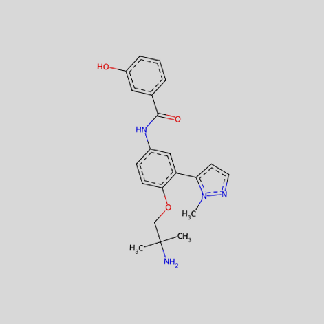 Cn1nccc1-c1cc(NC(=O)c2cccc(O)c2)ccc1OCC(C)(C)N